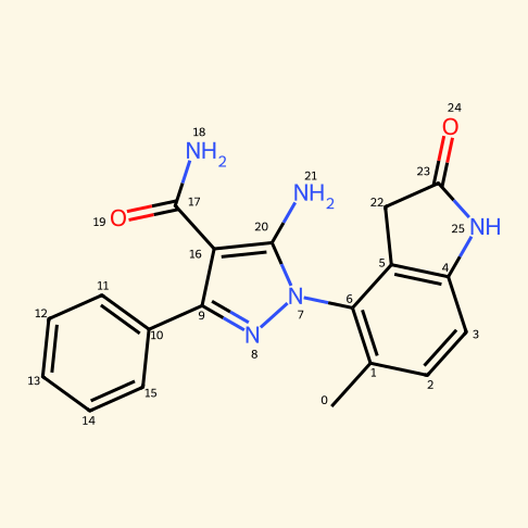 Cc1ccc2c(c1-n1nc(-c3ccccc3)c(C(N)=O)c1N)CC(=O)N2